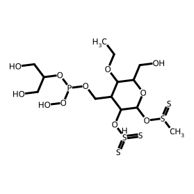 CCOC1C(CO)OC(OS(C)=S)C(O[SH](=S)=S)C1COP(OO)OC(CO)CO